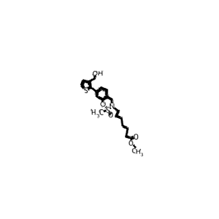 CCOC(=O)CCCCCCN(Cc1ccc(-c2sccc2CO)cc1)S(C)(=O)=O